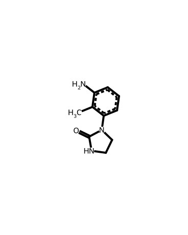 Cc1c(N)cccc1N1CCNC1=O